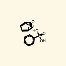 O=P(O)(O)c1ccccc1.O=S1(=O)C2=CC=C1C=C2